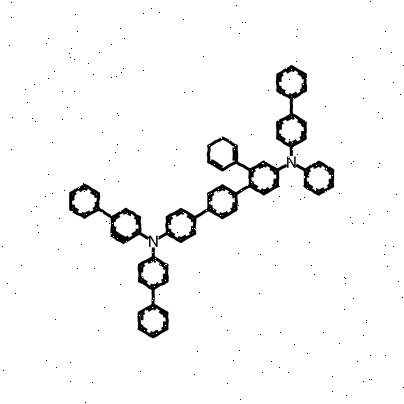 c1c(-c2ccccc2)ccc(N(c2ccc(-c3ccccc3)cc2)c2ccc(-c3ccc(-c4ccc(N(c5ccccc5)c5ccc(-c6ccccc6)cc5)cc4C4=CCCC=C4)cc3)cc2)c#1